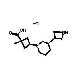 CC1(C(=O)O)CC(N2CCC[C@H](C3CNC3)C2)C1.Cl